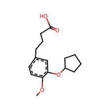 COc1ccc(CCCC(=O)O)cc1OC1CCCC1